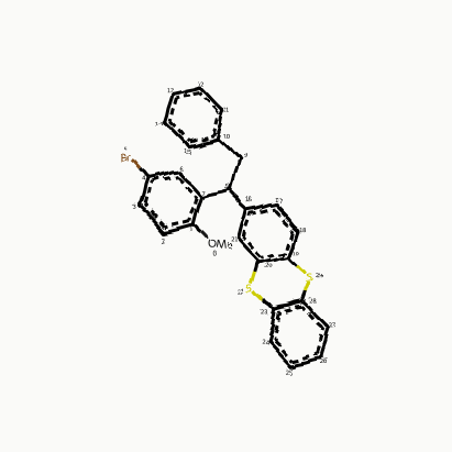 COc1ccc(Br)cc1C(Cc1ccccc1)c1ccc2c(c1)Sc1ccccc1S2